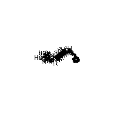 [2H]c1c([2H])c(C([2H])(O)CNC([2H])([2H])C([2H])([2H])C([2H])([2H])C([2H])([2H])C([2H])([2H])C([2H])([2H])OC([2H])([2H])CCCc2ccccc2)c([2H])c(C([2H])([2H])O)c1O